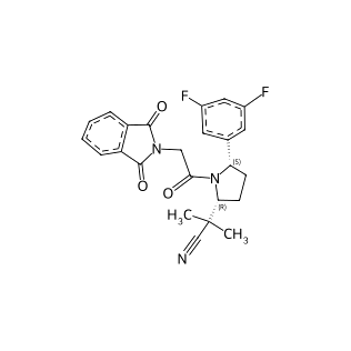 CC(C)(C#N)[C@H]1CC[C@@H](c2cc(F)cc(F)c2)N1C(=O)CN1C(=O)c2ccccc2C1=O